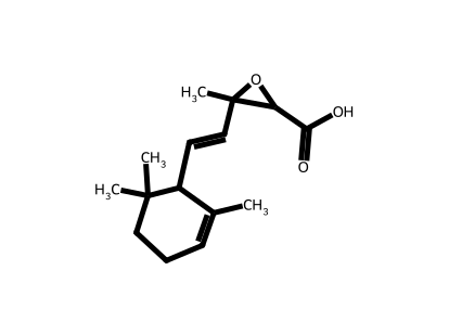 CC1=CCCC(C)(C)C1/C=C/C1(C)OC1C(=O)O